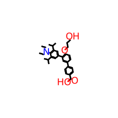 CCN(CC)c1c(C(C)C)cc(-c2cc(-c3ccc(C(=O)O)cc3)ccc2OCCCO)cc1C(C)C